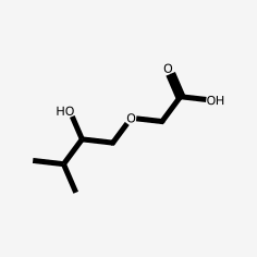 CC(C)C(O)COCC(=O)O